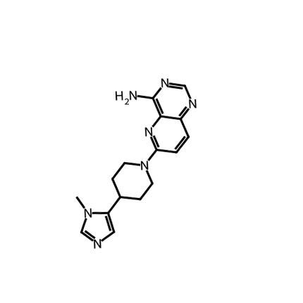 Cn1cncc1C1CCN(c2ccc3ncnc(N)c3n2)CC1